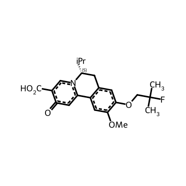 COc1cc2c(cc1OCC(C)(C)F)C[C@@H](C(C)C)n1cc(C(=O)O)c(=O)cc1-2